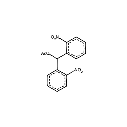 CC(=O)OC(c1ccccc1[N+](=O)[O-])c1ccccc1[N+](=O)[O-]